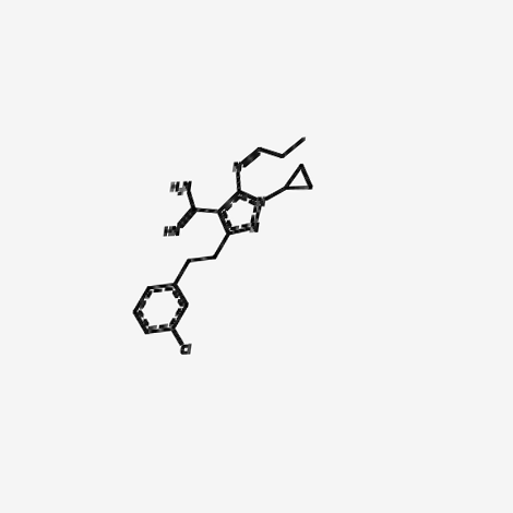 CC/C=N\c1c(C(=N)N)c(CCc2cccc(Cl)c2)nn1C1CC1